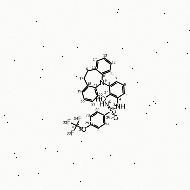 N=[S@](=O)(Nc1cccc(N2c3ccccc3CCc3ccccc32)c1O)c1ccc(OC(F)(F)F)cc1